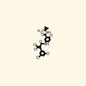 CC1(NC(=O)c2cc(NC(=O)C3C(c4cc(Cl)cc(Cl)c4)C3(Cl)Cl)ccc2Cl)CC1